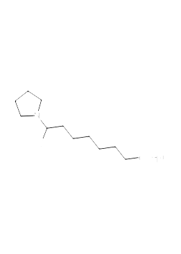 CCCCCCCCCCCCCC(C)N1CCCC1